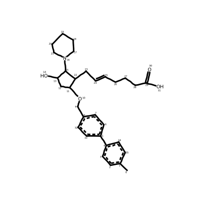 Cc1ccc(-c2ccc(COC3CC(O)C(N4CCCCC4)C3CC=CCCCC(=O)O)cc2)cc1